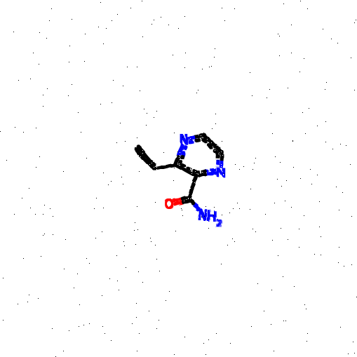 C=Cc1nccnc1C(N)=O